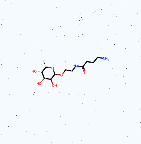 C[C@@H]1O[C@@H](OCCNC(=O)CCCN)[C@@H](O)[C@H](O)[C@@H]1O